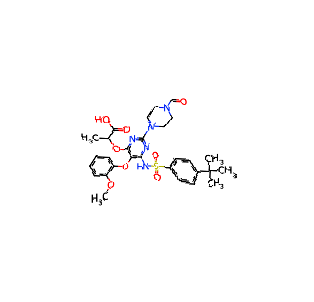 COc1ccccc1Oc1c(NS(=O)(=O)c2ccc(C(C)(C)C)cc2)nc(N2CCN(C=O)CC2)nc1OC(C)C(=O)O